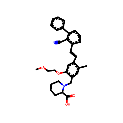 COCCOc1cc(C=Cc2cccc(-c3ccccc3)c2C#N)c(C)cc1CN1CCCCC1C(=O)O